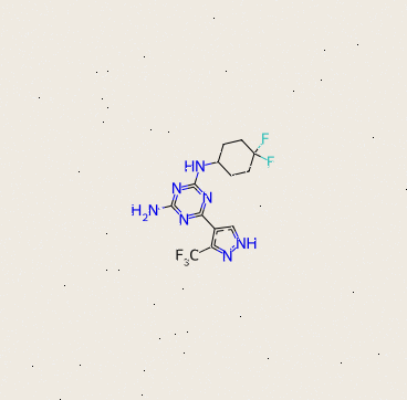 Nc1nc(NC2CCC(F)(F)CC2)nc(-c2c[nH]nc2C(F)(F)F)n1